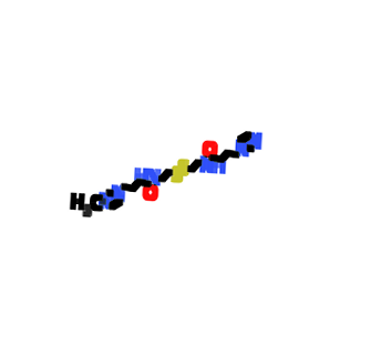 C[n+]1ccn(CCCC(=O)NCCSSCCNC(=O)CCCn2ccnc2)c1